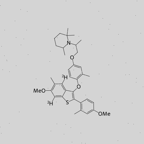 [2H]c1c(OC)c(C)c([2H])c2c(Oc3ccc(OCC(C)N4C(C)CCCC4(C)C)cc3C)c(-c3ccc(OC)cc3C)sc12